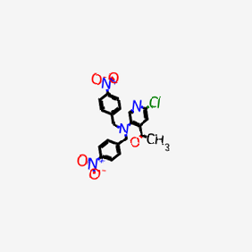 CC(=O)c1cc(Cl)ncc1N(Cc1ccc([N+](=O)[O-])cc1)Cc1ccc([N+](=O)[O-])cc1